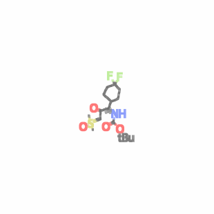 CC(C)(C)OC(=O)N[C@H](C(=O)C=S(C)(C)=O)C1CCC(F)(F)CC1